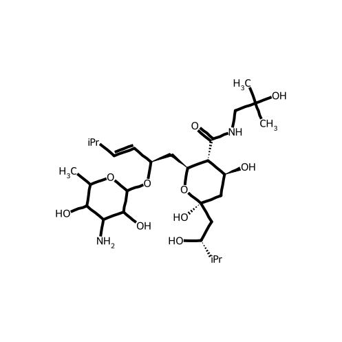 CC(C)/C=C/[C@@H](C[C@@H]1O[C@](O)(C[C@@H](O)C(C)C)C[C@H](O)[C@H]1C(=O)NCC(C)(C)O)OC1OC(C)C(O)C(N)C1O